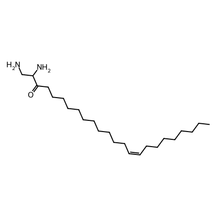 CCCCCCCC/C=C\CCCCCCCCCCCC(=O)C(N)CN